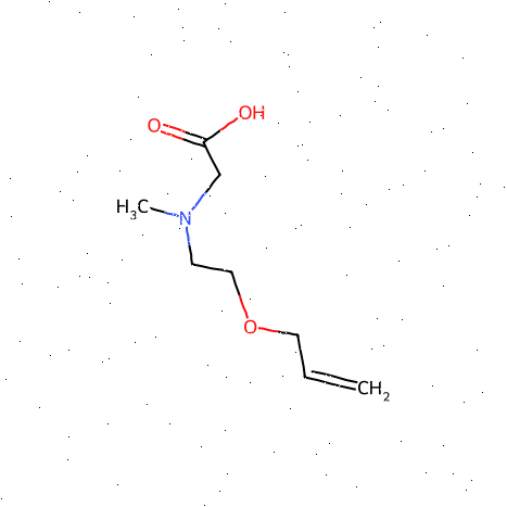 C=CCOCCN(C)CC(=O)O